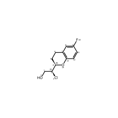 OC[C@H](Cl)[C@H]1CCc2cc(F)ccc2O1